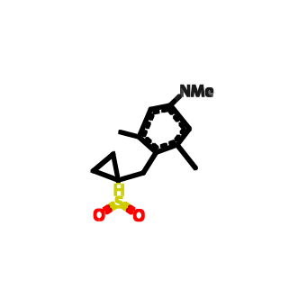 CNc1cc(C)c(CC2([SH](=O)=O)CC2)c(C)c1